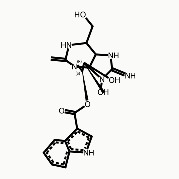 C=C1NC(CO)C2NC(=N)N(O)C23N1C[C@H](OC(=O)c1c[nH]c2ccccc12)[C@]3(C)O